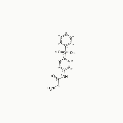 NCC(=O)Nc1ccc(S(=O)(=O)c2ccccc2)cc1